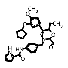 CCC1OC(C=O)N(Cc2ccc(NC(=O)c3ccc[nH]3)cc2)N=C1c1ccc(OC)c(OC2CCCC2)c1